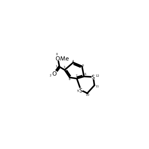 COC(=O)c1ccc2c(c1)SCCS2